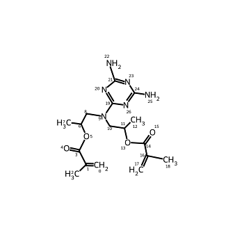 C=C(C)C(=O)OC(C)CN(CC(C)OC(=O)C(=C)C)c1nc(N)nc(N)n1